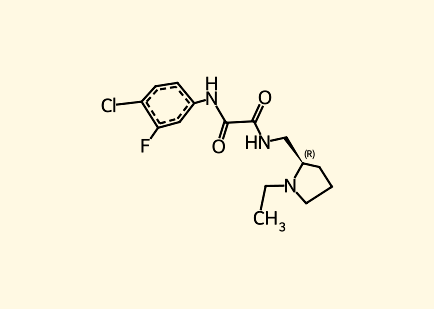 CCN1CCC[C@@H]1CNC(=O)C(=O)Nc1ccc(Cl)c(F)c1